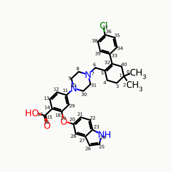 CC1(C)CCC(CN2CCN(c3ccc(C(=O)O)c(Oc4ccc5[nH]ccc5c4)c3)CC2)=C(c2ccc(Cl)cc2)C1